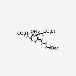 CCCCCCCCCCCCC/C=C1\CC[C@H](CC(=O)O)[C@H](O)[C@H]1SCC(=O)OCC